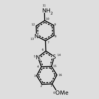 COc1ccc2nc(-c3ccc(N)cn3)sc2c1